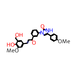 COc1ccc(-c2cn(-c3cccc(C(=O)/C=C/c4cc(CO)c(O)c(OC)c4)c3)c(=O)[nH]2)cc1